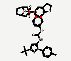 Cc1ccc(-n2nc(C(C)(C)C)cc2NC(=O)Nc2ccc(CC3CC4CCC(C3)N4S(=O)(=O)c3ccc4c(c3)CCO4)cc2)cc1